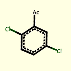 [CH2]C(=O)c1cc(Cl)ccc1Cl